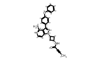 CC#CC(=O)N[C@H]1C[C@@H](n2nc(-c3ccc(Oc4ccccc4)cc3)c3c(N)nccc32)C1